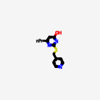 CCCc1cc(O)nc(SCc2ccncc2)n1